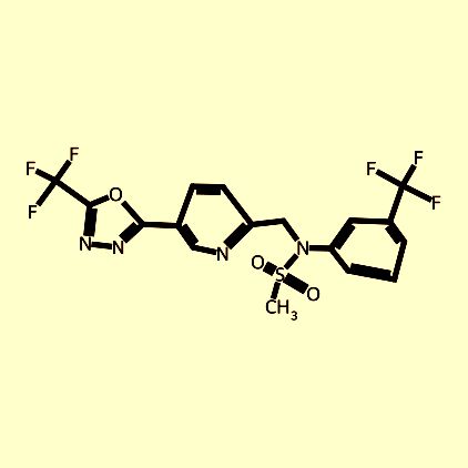 CS(=O)(=O)N(Cc1ccc(-c2nnc(C(F)(F)F)o2)cn1)c1cccc(C(F)(F)F)c1